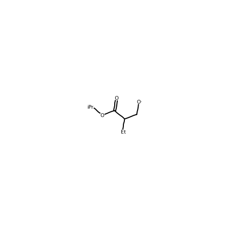 CCC(C[O])C(=O)OC(C)C